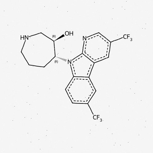 O[C@@H]1CNCCC[C@H]1n1c2ccc(C(F)(F)F)cc2c2cc(C(F)(F)F)cnc21